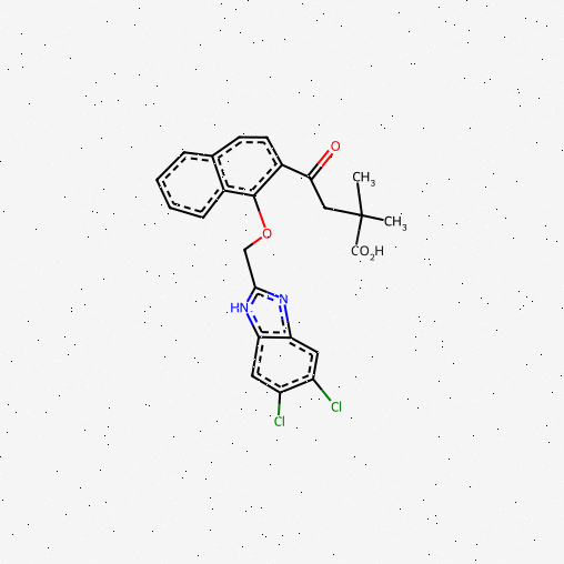 CC(C)(CC(=O)c1ccc2ccccc2c1OCc1nc2cc(Cl)c(Cl)cc2[nH]1)C(=O)O